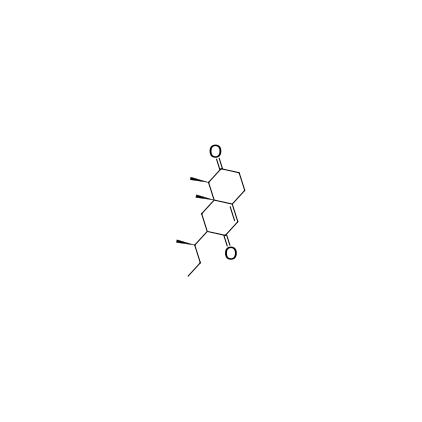 CC[C@@H](C)C1C[C@@]2(C)C(=CC1=O)CCC(=O)[C@@H]2C